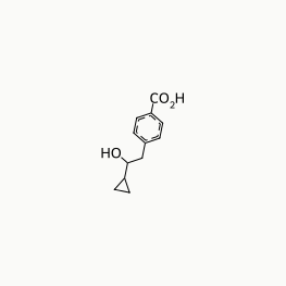 O=C(O)c1ccc(CC(O)C2CC2)cc1